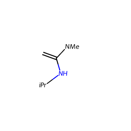 C=C(NC)NC(C)C